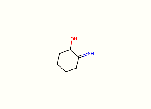 N=C1CCCCC1O